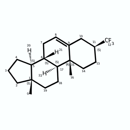 C[C@@]12CCC[C@H]1[C@@H]1CC=C3C[C@@H](C(F)(F)F)CC[C@]3(C)[C@H]1CC2